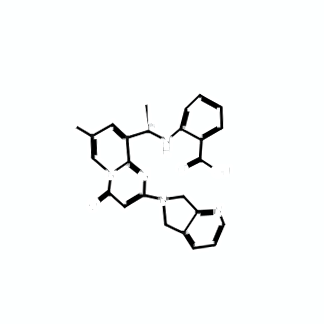 Cc1cc([C@@H](C)Nc2ccccc2C(=O)O)c2nc(N3Cc4cccnc4C3)cc(=O)n2c1